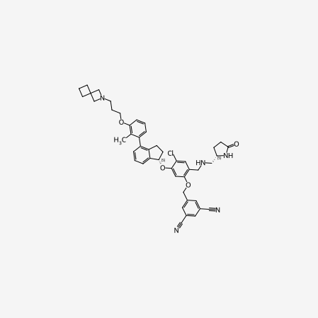 Cc1c(OCCCN2CC3(CCC3)C2)cccc1-c1cccc2c1CC[C@@H]2Oc1cc(OCc2cc(C#N)cc(C#N)c2)c(CNC[C@@H]2CCC(=O)N2)cc1Cl